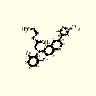 C/C=C\N=C(/C)CN(c1ccc2ncc(-c3cnn(C)c3)cc2n1)c1c(F)cccc1F